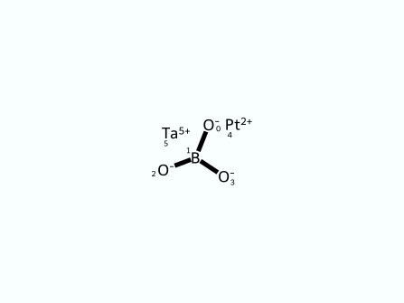 [O-]B([O-])[O-].[Pt+2].[Ta+5]